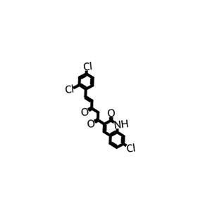 O=C(/C=C/c1ccc(Cl)cc1Cl)CC(=O)c1cc2ccc(Cl)cc2[nH]c1=O